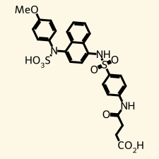 COc1ccc(N(c2ccc(NS(=O)(=O)c3ccc(NC(=O)CCC(=O)O)cc3)c3ccccc23)S(=O)(=O)O)cc1